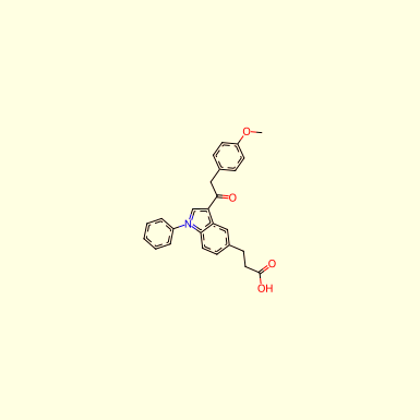 COc1ccc(CC(=O)c2cn(-c3ccccc3)c3ccc(CCC(=O)O)cc23)cc1